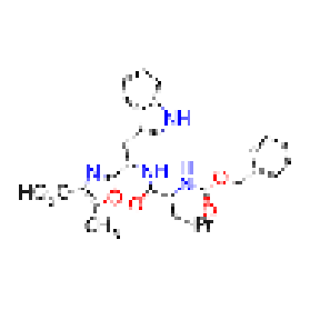 Cc1oc([C@@H](Cc2c[nH]c3ccccc23)NC(=O)[C@H](CC(C)C)NC(=O)OCc2ccccc2)nc1C(=O)O